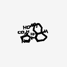 O=C(O)c1cncn1[C@@H]1CCC[C@H]2CCCC[C@@H]21.O=[N+]([O-])O